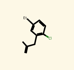 C=C(C)Cc1cc(CC)ccc1Cl